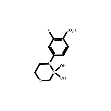 O=C(O)c1ccc(N2CCOCS2(O)O)cc1F